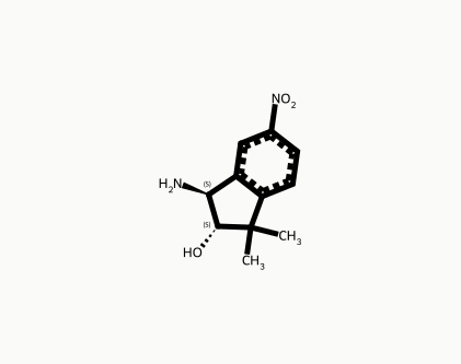 CC1(C)c2ccc([N+](=O)[O-])cc2[C@H](N)[C@H]1O